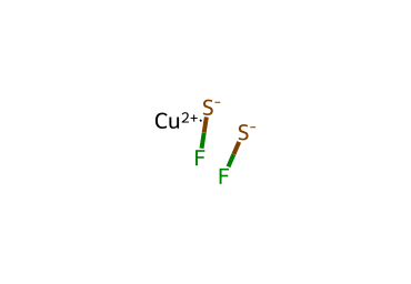 F[S-].F[S-].[Cu+2]